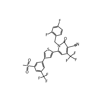 CS(=O)(=O)c1cc(-c2csc(-c3cc(C(F)(F)F)c(C#N)c(=O)n3Cc3ccc(F)cc3F)c2)cc(C(F)(F)F)c1